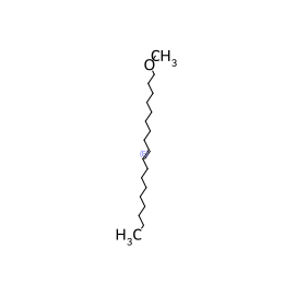 CCCCCCCC/C=C/CCCCCCCCOC